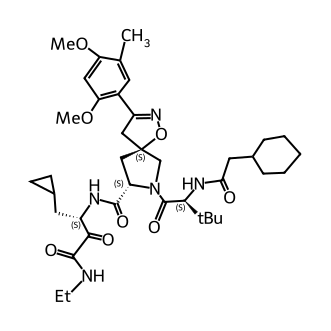 CCNC(=O)C(=O)[C@H](CC1CC1)NC(=O)[C@@H]1C[C@]2(CC(c3cc(C)c(OC)cc3OC)=NO2)CN1C(=O)[C@@H](NC(=O)CC1CCCCC1)C(C)(C)C